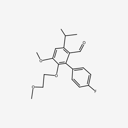 COCCOc1c(OC)cc(C(C)C)c(C=O)c1-c1ccc(F)cc1